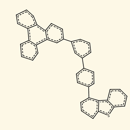 c1cc(-c2ccc(-c3cccc4sc5ccccc5c34)cc2)cc(-c2ccc3c4ccccc4c4ccccc4c3c2)c1